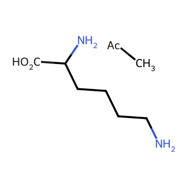 CC(C)=O.NCCCCC(N)C(=O)O